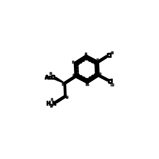 CC(=O)O[C@@H](CN)c1ccc(Cl)c(Cl)c1